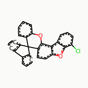 Clc1cccc2c1oc1ccc3c(c12)Oc1ccccc1C31c2ccccc2-c2ccccc21